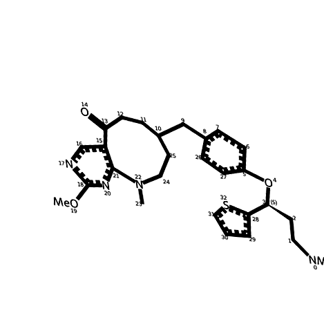 CNCC[C@H](Oc1ccc(CC2CCC(=O)c3cnc(OC)nc3N(C)CC2)cc1)c1cccs1